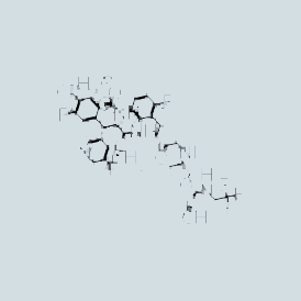 C=C=C(NCC(F)(F)F)OC[C@@H]1CO[C@H](CCc2c(F)cccc2NC(=C=C)[C@@H](NC(=O)OC)[C@H](c2cncc(F)c2)c2ccc(Cl)c(F)c2)CN1